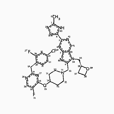 Cc1nnc(-c2cc3nc(CN4CCC(Oc5nc(Cc6ccc(Cl)cc6F)ncc5F)CC4)n(C[C@@H]4CCO4)c3cn2)[nH]1